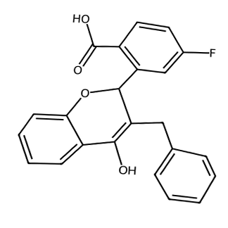 O=C(O)c1ccc(F)cc1C1Oc2ccccc2C(O)=C1Cc1ccccc1